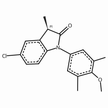 COc1c(C)cc(N2C(=O)[C@H](C)c3cc(Cl)ccc32)cc1C